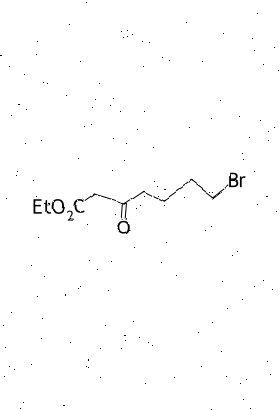 CCOC(=O)CC(=O)CCCCBr